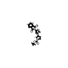 CC(C)(C)OC(=O)N1CCC(n2cc(N3C(=O)c4ccccc4C3=O)nn2)C1